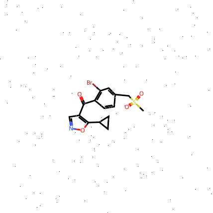 CS(=O)(=O)Cc1ccc(C(=O)c2cnoc2C2CC2)c(Br)c1